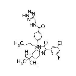 CCCC[C@H](c1ccc(C(=O)NCc2nn[nH]n2)cc1)N1C(=O)C(c2cc(F)cc(Cl)c2)=NC12CCC(C(C)(C)C)CC2